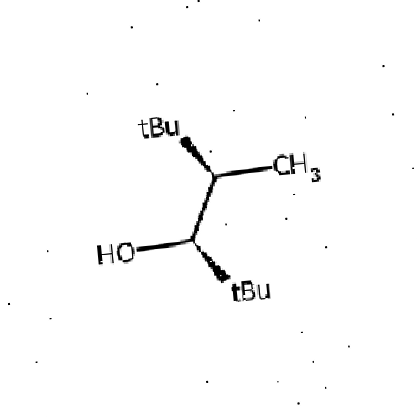 C[C@@H]([C@H](O)C(C)(C)C)C(C)(C)C